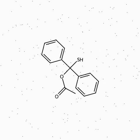 CC(=O)OC(S)(c1ccccc1)c1ccccc1